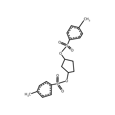 Cc1ccc(S(=O)(=O)OC2CCC(OS(=O)(=O)c3ccc(C)cc3)C2)cc1